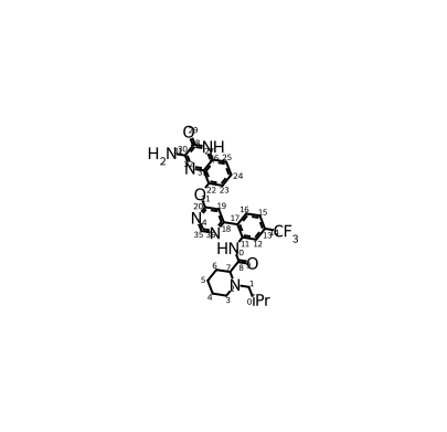 CC(C)CN1CCCCC1C(=O)Nc1cc(C(F)(F)F)ccc1-c1cc(Oc2cccc3[nH]c(=O)c(N)nc23)ncn1